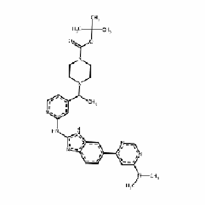 CC(c1ccnc(Nc2nc3ccc(-c4cc(N(C)C)ncn4)cc3[nH]2)c1)N1CCN(C(=O)OC(C)(C)C)CC1